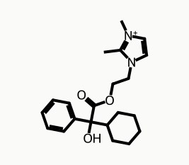 Cc1n(CCOC(=O)C(O)(c2ccccc2)C2CCCCC2)cc[n+]1C